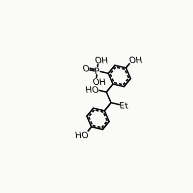 CCC(c1ccc(O)cc1)C(O)c1ccc(O)cc1P(=O)(O)O